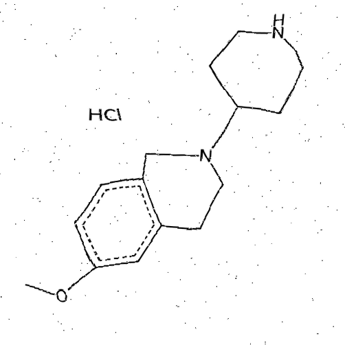 COc1ccc2c(c1)CCN(C1CCNCC1)C2.Cl